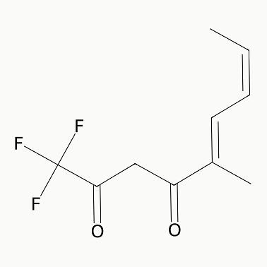 C/C=C\C=C(/C)C(=O)CC(=O)C(F)(F)F